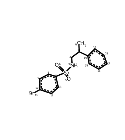 CC(CNS(=O)(=O)c1ccc(Br)cc1)c1ccccc1